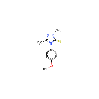 CCCOc1ccc(-n2c(C(F)(F)F)nn(C)c2=S)cc1